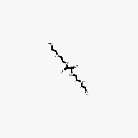 COCCOCCOC(=O)C(=O)OCCOCCO